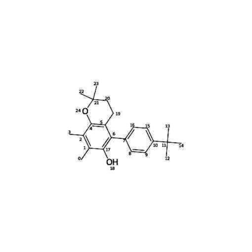 Cc1c(C)c2c(c(-c3ccc(C(C)(C)C)cc3)c1O)CCC(C)(C)O2